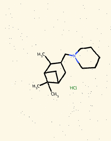 CC1C(CN2CCCCC2)CC2CC1C2(C)C.Cl